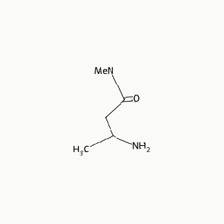 CNC(=O)CC(C)N